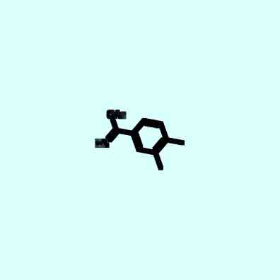 CC(=O)OC(=N)c1ccc(C)c(C)c1